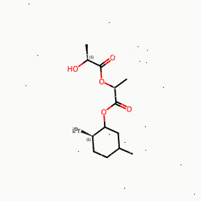 CC1CC[C@@H](C(C)C)C(OC(=O)C(C)OC(=O)[C@H](C)O)C1